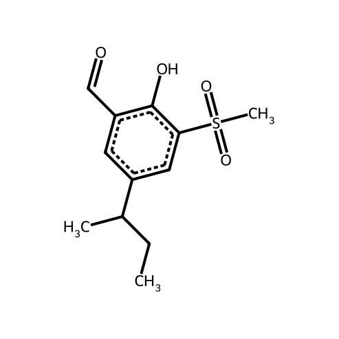 CCC(C)c1cc(C=O)c(O)c(S(C)(=O)=O)c1